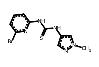 Cn1cc(NC(=S)Nc2cccc(Br)n2)cn1